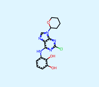 Oc1cccc(Nc2nc(Cl)nc3c2ncn3C2CCCCO2)c1O